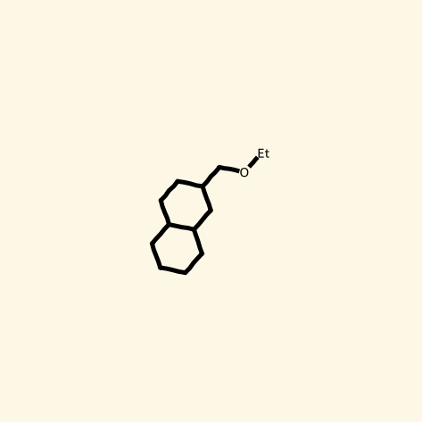 CCOCC1CCC2CCCCC2C1